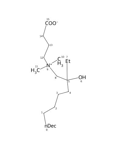 CCCCCCCCCCCCCCC(O)(CC)C[N+](C)(C)CCCC(=O)[O-]